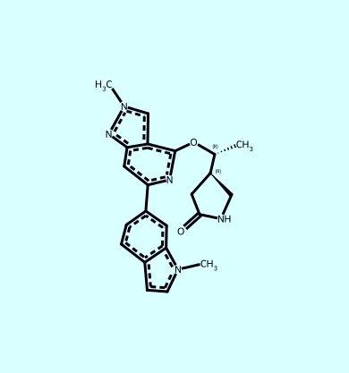 C[C@@H](Oc1nc(-c2ccc3ccn(C)c3c2)cc2nn(C)cc12)[C@H]1CNC(=O)C1